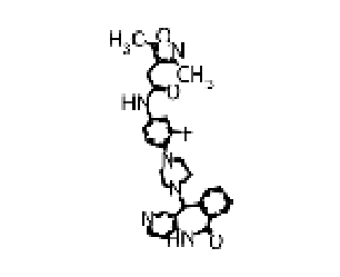 Cc1noc(C)c1CC(=O)Nc1ccc(N2CCN(C3c4cnccc4NC(=O)c4ccccc43)CC2)c(F)c1